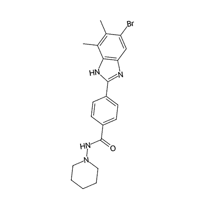 Cc1c(Br)cc2nc(-c3ccc(C(=O)NN4CCCCC4)cc3)[nH]c2c1C